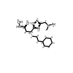 CC(=O)N(C)Cc1noc([C@H](CCCC2CCCCC2)CC(=O)NO)n1